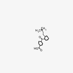 CN(C)CCc1ccccc1C(=O)c1ccc(C(=O)O)cc1